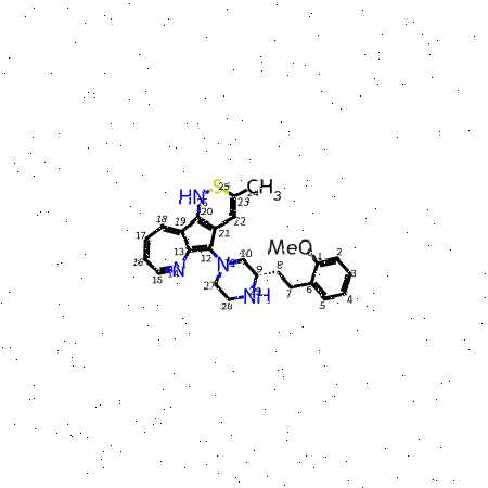 COc1ccccc1CC[C@H]1CN(c2c3nccccc-3c3c2C=C(C)SN3)CCN1